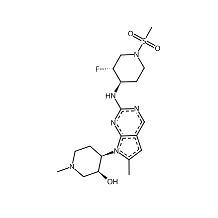 Cc1cc2cnc(N[C@@H]3CCN(S(C)(=O)=O)C[C@H]3F)nc2n1[C@@H]1CCN(C)C[C@@H]1O